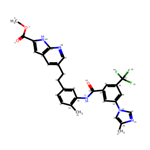 COC(=O)c1cc2cc(CCc3ccc(C)c(NC(=O)c4cc(-n5cnc(C)c5)cc(C(F)(F)F)c4)c3)cnc2[nH]1